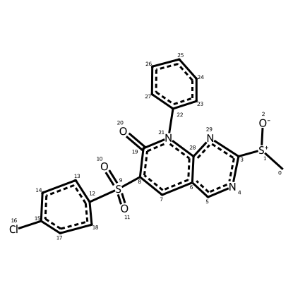 C[S+]([O-])c1ncc2cc(S(=O)(=O)c3ccc(Cl)cc3)c(=O)n(-c3ccccc3)c2n1